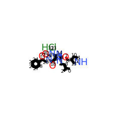 CC(C)=CCn1c(OC[C@H]2CCNC2)nc2c1c(=O)n(CC(=O)c1ccccc1)c(=O)n2C.Cl